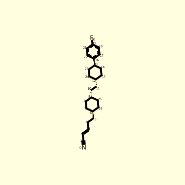 N#C/C=C/CC[C@H]1CC[C@H](CC[C@H]2CC[C@H](c3ccc(F)cc3)CC2)CC1